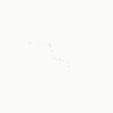 CCCCC(S)CCC(=O)O